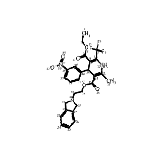 CCOC(=O)C1=C(C(F)(F)F)NC(C)=C(C(=O)OCCN2Cc3ccccc3C2)C1c1cccc([N+](=O)[O-])c1